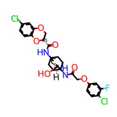 O=C(COc1ccc(Cl)c(F)c1)NC12CCC(NC(=O)[C@H]3COc4cc(Cl)ccc4O3)(CC1)C[C@@H]2O